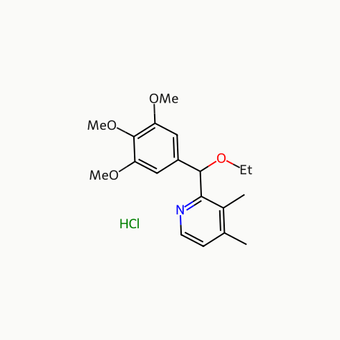 CCOC(c1cc(OC)c(OC)c(OC)c1)c1nccc(C)c1C.Cl